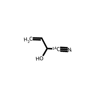 C=C[C](O)[14C]#N